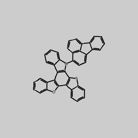 c1ccc2c(c1)-c1cccc3c(-n4c5ccccc5c5c6c7ccccc7oc6c6c7ccccc7sc6c54)ccc-2c13